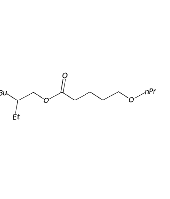 CCCCC(CC)COC(=O)CCCCOCCC